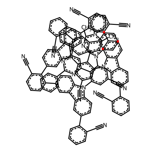 Cc1cc(-c2c(-n3c4cc(-c5ccccc5C#N)ccc4c4ccc(-c5ccccc5C#N)cc43)cc(C#N)cc2-n2c3cc(-c4ccccc4C#N)ccc3c3ccc(-c4c(C#N)cccc4-c4ccc5c(c4)c4cc(-c6ccccc6C#N)ccc4n5-c4cc(C#N)cc(-n5c6ccccc6c6cc(-c7ccccc7C#N)ccc65)c4-c4cc(-c5ccccc5)nc(-c5ccccc5)n4)cc32)nc(C)n1